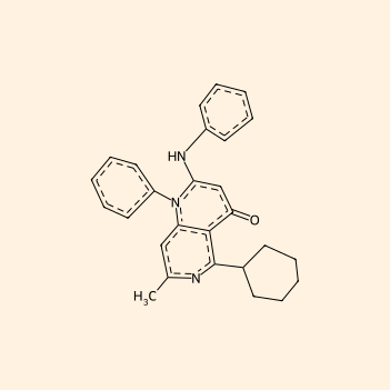 Cc1cc2c(c(C3CCCCC3)n1)c(=O)cc(Nc1ccccc1)n2-c1ccccc1